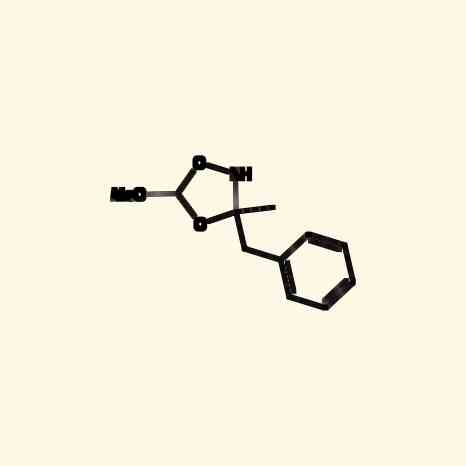 COC1ONC(C)(Cc2ccccc2)O1